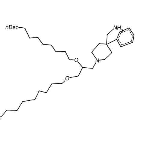 CCCCCCCCCCCCCCCCCCOCC(CN1CCC(CN)(c2ccccc2)CC1)OCCCCCCCCCCCCCCCCCC